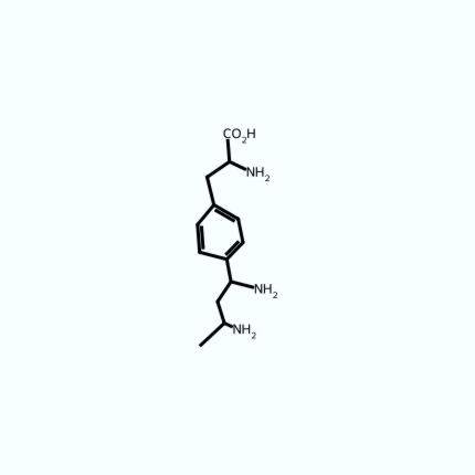 CC(N)CC(N)c1ccc(CC(N)C(=O)O)cc1